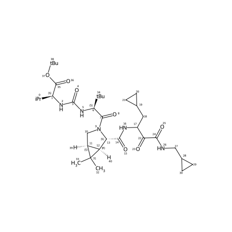 CC(C)[C@H](NC(=O)N[C@H](C(=O)N1C[C@H]2[C@@H]([C@H]1C(=O)NC(CC1CC1)C(=O)C(=O)NCC1CC1)C2(C)C)C(C)(C)C)C(=O)OC(C)(C)C